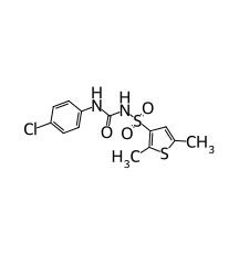 Cc1cc(S(=O)(=O)NC(=O)Nc2ccc(Cl)cc2)c(C)s1